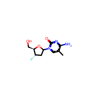 Cc1cn(C2C[C@H](F)[C@@H](CO)O2)c(=O)nc1N